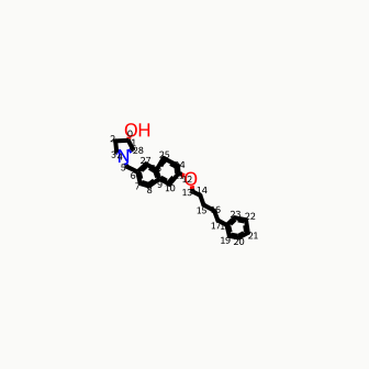 OC1CCN(Cc2ccc3cc(OCCCCCc4ccccc4)ccc3c2)C1